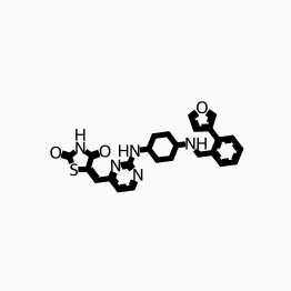 O=C1NC(=O)/C(=C\c2ccnc(NC3CCC(NCc4ccccc4-c4ccoc4)CC3)n2)S1